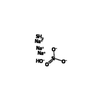 O=[Si]([O-])[O-].S.[Na+].[Na+].[Na+].[OH-]